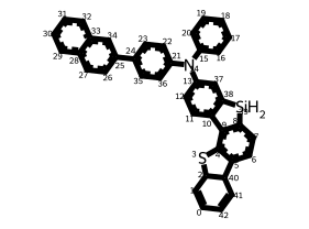 C1=CC2Sc3c(ccc4c3-c3ccc(N(c5ccccc5)c5ccc(-c6ccc7ccccc7c6)cc5)cc3[SiH2]4)C2C=C1